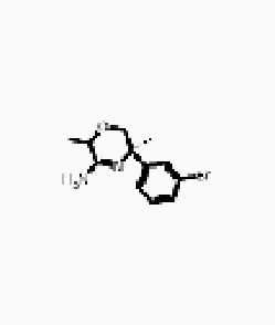 C[C@H]1OC[C@@](C)(c2cccc(Br)c2)N=C1N